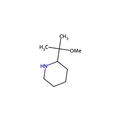 COC(C)(C)C1CCCCN1